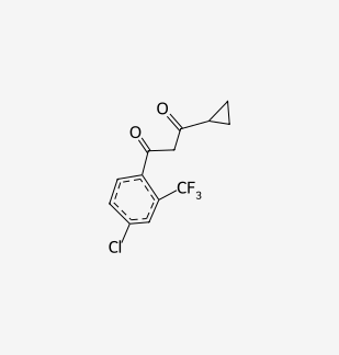 O=C(CC(=O)C1CC1)c1ccc(Cl)cc1C(F)(F)F